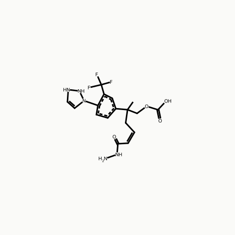 CC(C/C=C\C(=O)NN)(COC(=O)O)c1ccc(N2C=CNN2)c(C(F)(F)F)c1